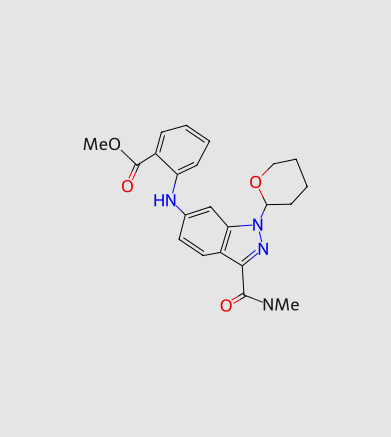 CNC(=O)c1nn(C2CCCCO2)c2cc(Nc3ccccc3C(=O)OC)ccc12